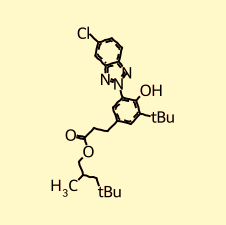 CC(COC(=O)CCc1cc(-n2nc3ccc(Cl)cc3n2)c(O)c(C(C)(C)C)c1)CC(C)(C)C